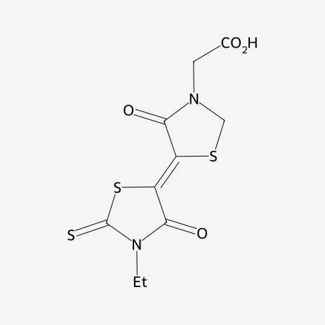 CCN1C(=O)/C(=C2\SCN(CC(=O)O)C2=O)SC1=S